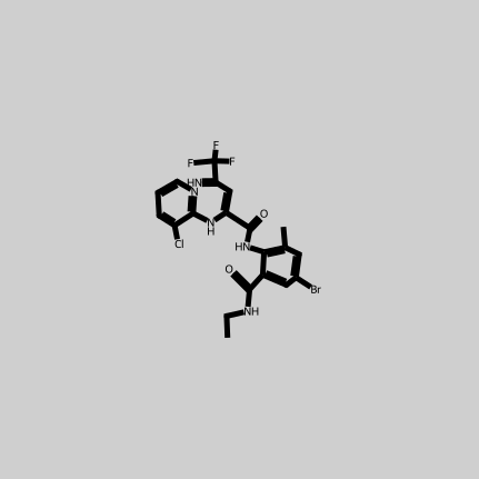 CCNC(=O)c1cc(Br)cc(C)c1NC(=O)/C(=C/C(=N)C(F)(F)F)Nc1ncccc1Cl